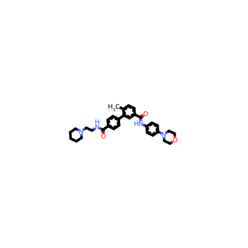 Cc1ccc(C(=O)Nc2ccc(N3CCOCC3)cc2)cc1-c1ccc(C(=O)NCCN2CCCCC2)cc1